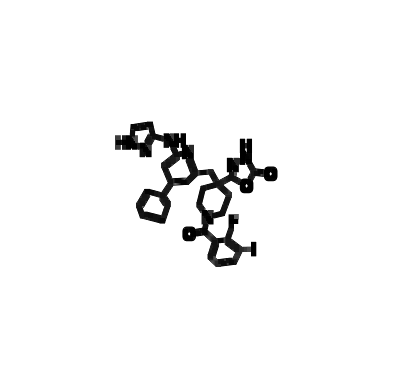 O=C(c1cccc(I)c1F)N1CCC(Cc2cc(-c3ccccc3)cc(Nc3cc[nH]n3)n2)(c2n[nH]c(=O)o2)CC1